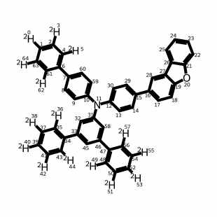 [2H]c1c([2H])c([2H])c(-c2ccc(N(c3ccc(-c4ccc5oc6ccccc6c5c4)cc3)c3cc(-c4c([2H])c([2H])c([2H])c([2H])c4[2H])cc(-c4c([2H])c([2H])c([2H])c([2H])c4[2H])c3)cc2)c([2H])c1[2H]